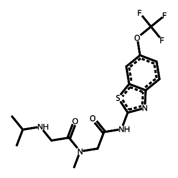 CC(C)NCC(=O)N(C)CC(=O)Nc1nc2ccc(OC(F)(F)F)cc2s1